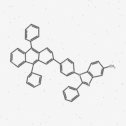 Cc1ccc2c(c1)nc(-c1ccccc1)n2-c1ccc(-c2ccc3c(-c4ccccc4)c4ccccc4c(-c4ccccc4)c3c2)cc1